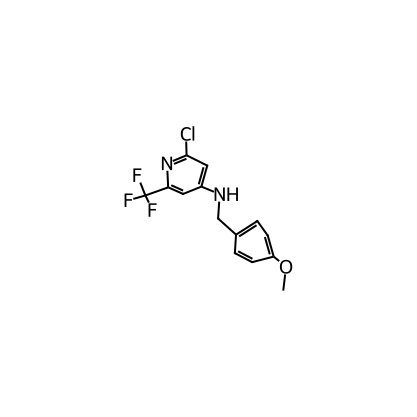 COc1ccc(CNc2cc(Cl)nc(C(F)(F)F)c2)cc1